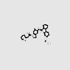 CC(C)Sc1ccc(-c2ccccc2C(=O)Nc2ccc3c(c2)CCN3C(=O)Cc2ccccn2)cc1